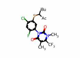 CCC(C)C(Sc1cc(-n2c(=O)c(C)c(C(F)(F)F)n(C)c2=O)c(F)cc1Cl)C(C)=O